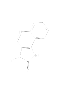 Nn1c(=O)[nH]c2c3ccccc3ncc21